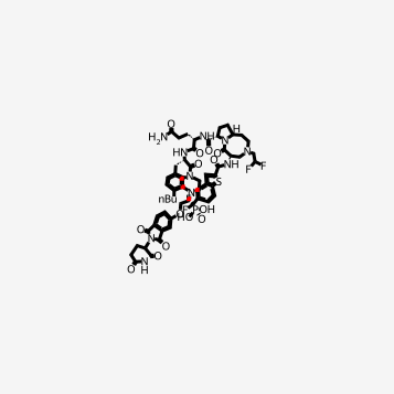 CCCCc1ccc(C[C@H](NC(=O)[C@H](CCC(N)=O)NC(=O)[C@@H]2CC[C@@H]3CCN(CC(F)F)C[C@H](NC(=O)c4cc5cc(C(F)(F)P(=O)(O)O)ccc5s4)C(=O)N32)C(=O)N2CCN(CCOc3ccc4c(c3)C(=O)N(C3CCC(=O)NC3=O)C4=O)CC2)cc1